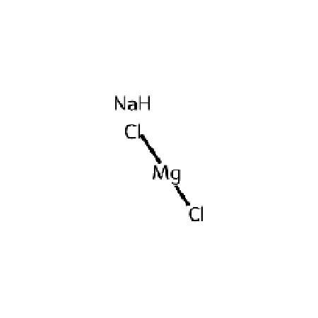 [Cl][Mg][Cl].[NaH]